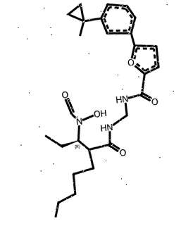 CCCCCC(C(=O)NCNC(=O)c1ccc(-c2cccc(C3(C)CC3)c2)o1)[C@@H](CC)N(O)C=O